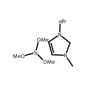 CCCN1C=CN(C)C1.CO[Si](OC)OC